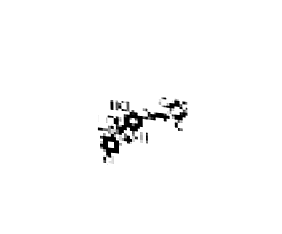 COC1(Nc2ccc(Cl)cc2F)N=CNc2cc(OCCCN3C(=O)COCC3=O)ccc21.Cl